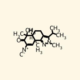 [C-]#[N+]C1=C[C@]2(C)c3nn(C)c(C(C)C)c3CC[C@H]2C(C)(C)C1=O